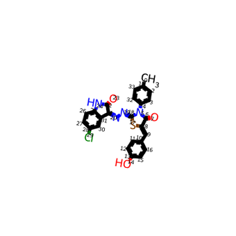 Cc1ccc(N2C(=O)C(=Cc3ccc(O)cc3)SC2=NN=C2C(=O)Nc3ccc(Cl)cc32)cc1